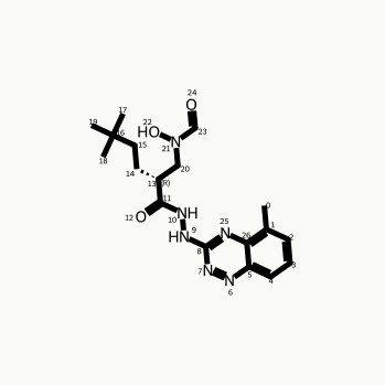 Cc1cccc2nnc(NNC(=O)[C@H](CCC(C)(C)C)CN(O)C=O)nc12